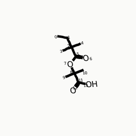 CCC(C)(C)C(=O)OC(C)(C)C(=O)O